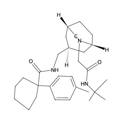 Cc1ccc(C2(C(=O)NC[C@H]3C[C@@H]4CC[C@H](C3)N(CC(=O)NC(C)(C)C)C4)CCCCC2)cc1